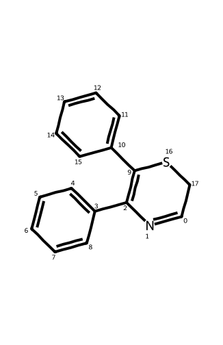 C1=NC(c2ccccc2)=C(c2ccccc2)SC1